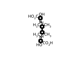 Cc1cc(-c2cc(C)c(/N=N/c3ccc(O)c(C(=O)O)c3)c(C)c2)cc(C)c1/N=N/c1ccc(O)c(C(=O)O)c1